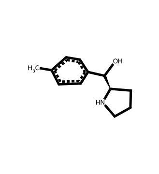 Cc1ccc(C(O)[C@H]2CCCN2)cc1